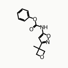 CC1(c2cc(NC(=O)Oc3ccccc3)on2)COC1